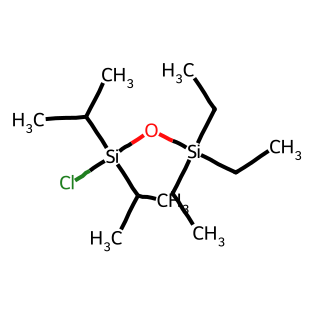 CC[Si](CC)(CC)O[Si](Cl)(C(C)C)C(C)C